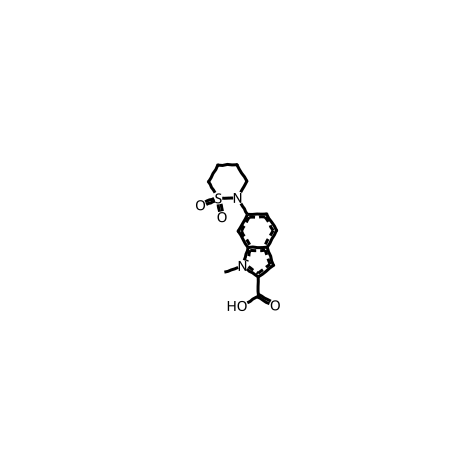 Cn1c(C(=O)O)cc2ccc(N3CCCCS3(=O)=O)cc21